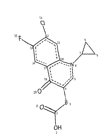 O=C(O)[B]c1cn(C2CC2)c2cc(Cl)c(F)cc2c1=O